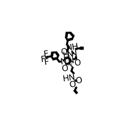 C#CCN1CC(=O)N2[C@@H](CCCNC(=O)OCC=C)C(=O)N(Cc3cccc(C(F)(F)F)c3)C[C@@H]2N1C(=O)NCc1ccccc1